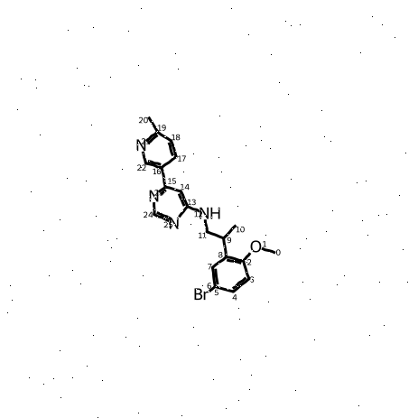 COc1ccc(Br)cc1C(C)CNc1cc(-c2ccc(C)nc2)ncn1